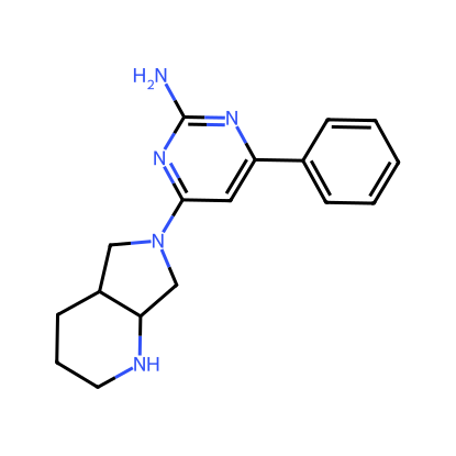 Nc1nc(-c2ccccc2)cc(N2CC3CCCNC3C2)n1